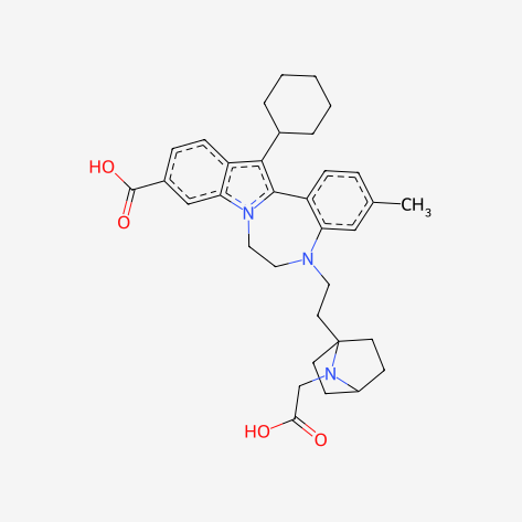 Cc1ccc2c(c1)N(CCC13CCC(CC1)N3CC(=O)O)CCn1c-2c(C2CCCCC2)c2ccc(C(=O)O)cc21